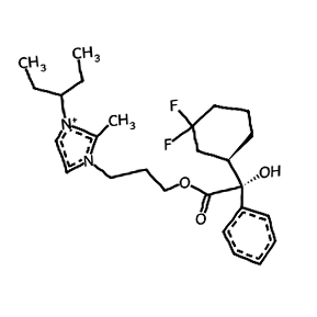 CCC(CC)[n+]1ccn(CCCOC(=O)[C@](O)(c2ccccc2)[C@@H]2CCCC(F)(F)C2)c1C